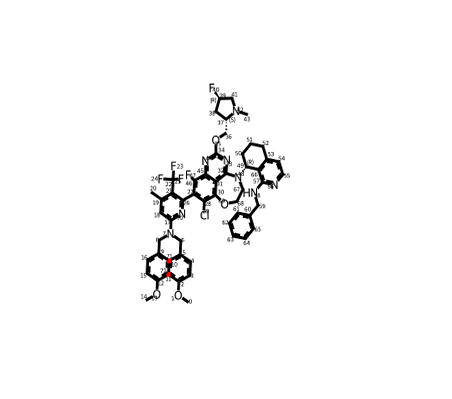 COc1ccc(CN(Cc2ccc(OC)cc2)c2cc(C)c(C(F)(F)F)c(-c3c(Cl)c4c5c(nc(OC[C@@H]6C[C@@H](F)CN6C)nc5c3F)N([C@@H]3CCCc5ccnc(NCc6ccccc6)c53)CCO4)n2)cc1